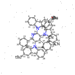 CC(C)(C)c1ccc2c(c1)c1ccccc1n2-c1nc(-c2ccccc2)c(-n2c3ccccc3c3cc(C(C)(C)C)ccc32)c(-c2cccc(C#N)c2C#N)c1-n1c2ccccc2c2cc(C(C)(C)C)ccc21